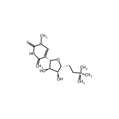 C=C1NC(=S)N(C)C=C1[C@@H]1O[C@H](CCP(=C)(C)C)[C@@H](O)[C@H]1O